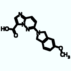 COc1ccc2c(c1)CN(c1ccc3ncc(C(=O)O)n3n1)C2